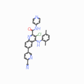 Cc1ccc(C)c(Nc2c(Cl)c(C(=O)Nc3ccncc3)nc3ccc(-c4ccc(C#N)nc4)cc23)c1